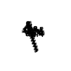 CCCCCCCCCCCC(=O)Oc1c2n(cc(C(=O)NCc3ccc(F)cc3F)c1=O)[C@@H]1CN(C2=O)[C@@H](C)CC[C@]12CC(OC)=NO2